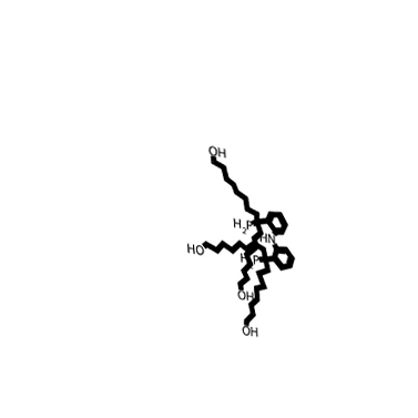 OCCCCCCCCC(P)(CCCCCCCCO)c1ccccc1Nc1ccccc1C(P)(CCCCCCCCO)CCCCCCCCO